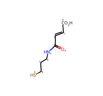 O=C(O)C=CC(=O)NCCCS